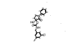 O=C(NCc1cc(F)cc(Cl)c1)OC1(O)CCN(c2ccccc2)C1=O